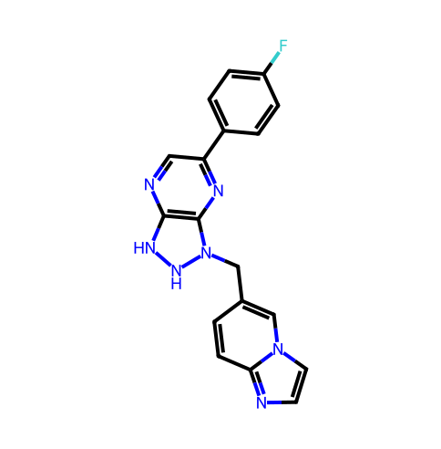 Fc1ccc(-c2cnc3c(n2)N(Cc2ccc4nccn4c2)NN3)cc1